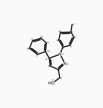 Cc1ccc(-n2nc(CO)cc2-c2ccccc2)cc1